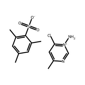 Cc1cc(C)c(S(=O)(=O)[O-])c(C)c1.Cc1cc(Cl)[n+](N)cn1